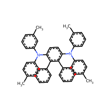 Cc1ccc(N(c2cccc(C)c2)c2ccc(N(c3ccc(C)cc3)c3cccc(C)c3)c(-c3ccccc3)c2-c2ccccc2)cc1